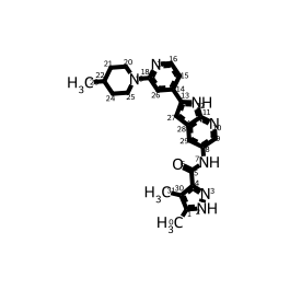 Cc1[nH]nc(C(=O)Nc2cnc3[nH]c(-c4ccnc(N5CCC(C)CC5)c4)cc3c2)c1C